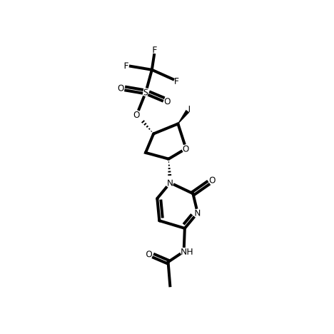 CC(=O)Nc1ccn([C@@H]2C[C@H](OS(=O)(=O)C(F)(F)F)[C@@H](I)O2)c(=O)n1